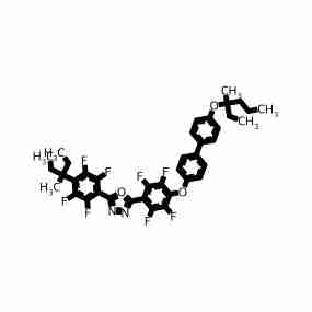 CCCC(C)(CC)Oc1ccc(-c2ccc(Oc3c(F)c(F)c(-c4nnc(-c5c(F)c(F)c(C(C)(CC)CC)c(F)c5F)o4)c(F)c3F)cc2)cc1